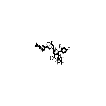 CC1CN(c2cc3c(=O)n(C)c(C(F)(F)F)nc3c(-c3ccc(F)cc3F)n2)CC(c2cnn(C3CC3)c2)O1